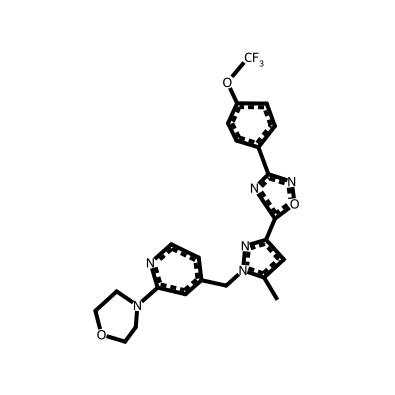 Cc1cc(-c2nc(-c3ccc(OC(F)(F)F)cc3)no2)nn1Cc1ccnc(N2CCOCC2)c1